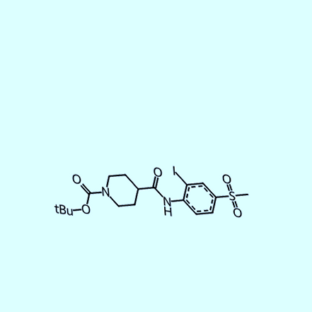 CC(C)(C)OC(=O)N1CCC(C(=O)Nc2ccc(S(C)(=O)=O)cc2I)CC1